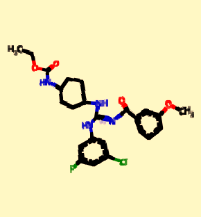 CCOC(=O)NC1CCC(N/C(=N\C(=O)c2cccc(OC)c2)Nc2cc(F)cc(Cl)c2)CC1